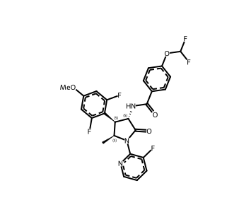 COc1cc(F)c([C@H]2[C@H](NC(=O)c3ccc(OC(F)F)cc3)C(=O)N(c3ncccc3F)[C@H]2C)c(F)c1